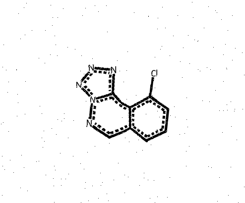 Clc1cccc2cnn3nnnc3c12